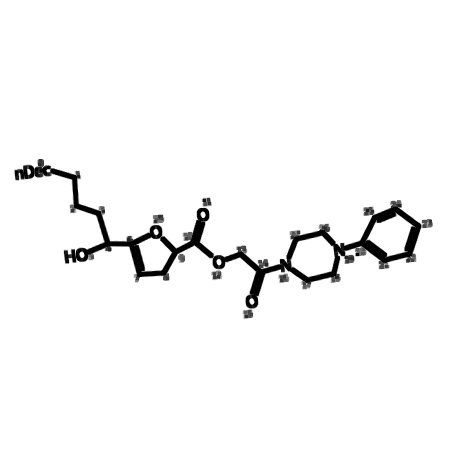 CCCCCCCCCCCCCC(O)C1=CCC(C(=O)OCC(=O)N2CCN(c3ccccc3)CC2)O1